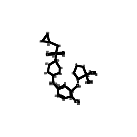 C[C@]1(O)CCC[C@H]1Oc1nc(NC2CCN(S(=O)(=O)CC3CC3)CC2)ncc1C#N